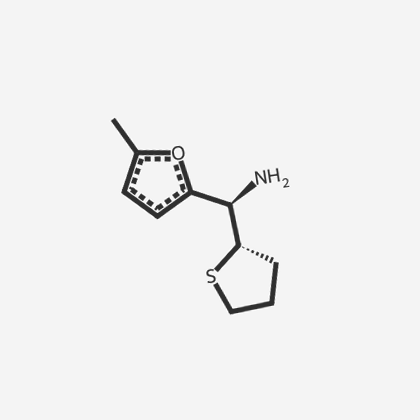 Cc1ccc([C@@H](N)[C@@H]2CCCS2)o1